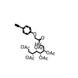 C#Cc1ccc(OCC(=O)NC[C@@H](OC(C)=O)[C@H](OC(C)=O)[C@@H](OC(C)=O)[C@@H](COC(C)=O)OC(C)=O)cc1